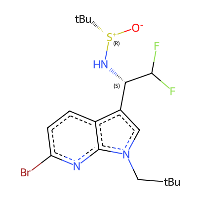 CC(C)(C)Cn1cc([C@H](N[S@@+]([O-])C(C)(C)C)C(F)F)c2ccc(Br)nc21